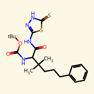 CC(C)(C)OC(=O)NC(C(=O)Nc1n[nH]c(=S)s1)C(C)(C)CCCc1ccccc1